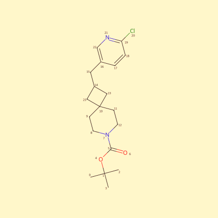 CC(C)(C)OC(=O)N1CCC2(CC1)CC(Cc1ccc(Cl)nc1)C2